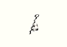 CC=CC(O)CNCCCCc1ccccc1